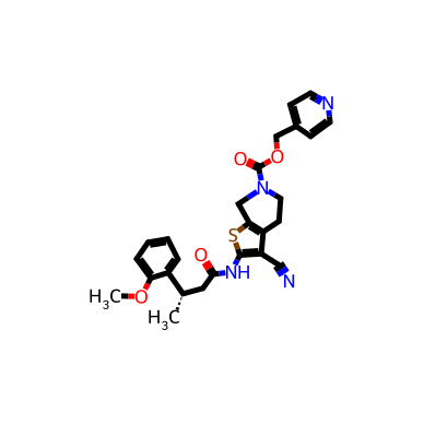 COc1ccccc1[C@@H](C)CC(=O)Nc1sc2c(c1C#N)CCN(C(=O)OCc1ccncc1)C2